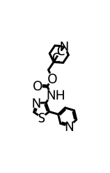 O=C(Nc1ncsc1-c1cccnc1)OCC12CCN(CC1)CC2